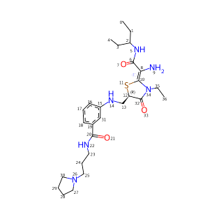 CCC(CC)NC(=O)/C(N)=C1\S[C@H](CNc2cccc(C(=O)NCCCN3CCCC3)c2)C(=O)N1CC